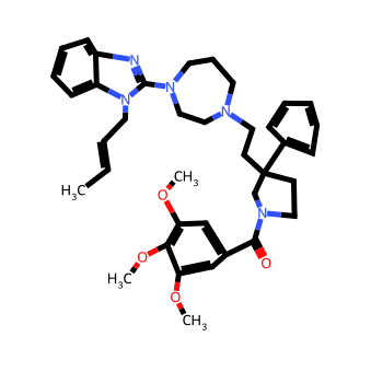 C/C=C/Cn1c(N2CCCN(CCC3(c4ccccc4)CCN(C(=O)c4cc(OC)c(OC)c(OC)c4)C3)CC2)nc2ccccc21